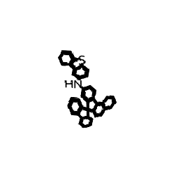 c1ccc2c(c1)-c1ccccc1C21c2cc(Nc3ccc4sc5ccccc5c4c3)ccc2-c2c1ccc1ccccc21